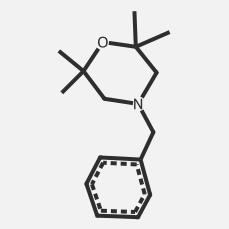 CC1(C)CN(Cc2ccccc2)CC(C)(C)O1